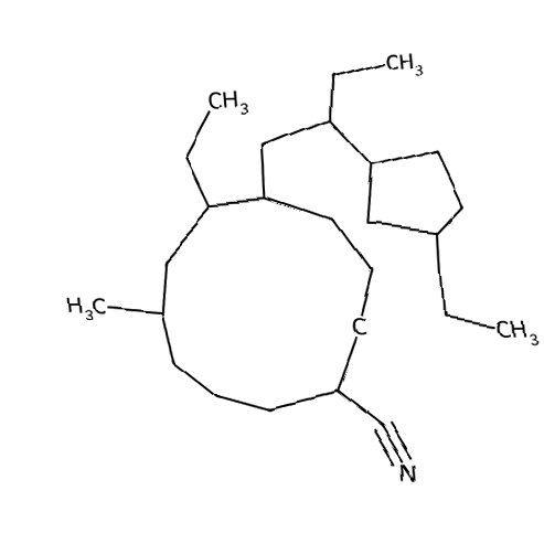 CCC1CCC(C(CC)CC2CCCC(C#N)CCCC(C)CC2CC)C1